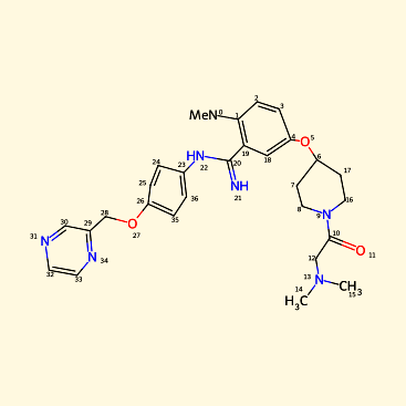 CNc1ccc(OC2CCN(C(=O)CN(C)C)CC2)cc1C(=N)Nc1ccc(OCc2cnccn2)cc1